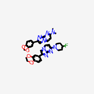 CN(C)c1ccn2cc(-c3ccc4c(c3)OCO4)nc2n1.FC1CCN(c2ccn3cc(-c4ccc5c(c4)OCCO5)nc3n2)CC1